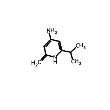 C=C1C=C(N)C=C(C(C)C)N1